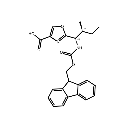 CC[C@H](C)[C@H](NC(=O)OCC1c2ccccc2-c2ccccc21)c1nc(C(=O)O)co1